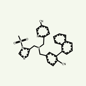 CS(=O)(=O)n1cncc1CN(Cc1ccc(C#N)c(-c2cccc3ccccc23)c1)Cc1ccc(C#N)cn1